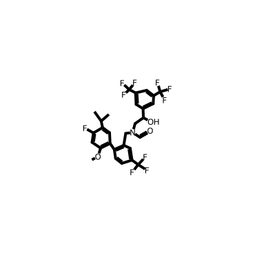 COc1cc(F)c(C(C)C)cc1-c1ccc(C(F)(F)F)cc1CN(C=O)CC(O)c1cc(C(F)(F)F)cc(C(F)(F)F)c1